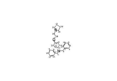 c1ccc(CN(Cc2ccccc2)[C@H]2CC[C@H](OCCN3CCCC3)CC2)cc1